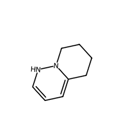 C1=CNN2CCCCC2=C1